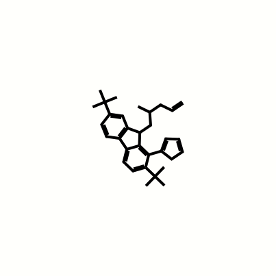 C=CCC(C)CC1c2cc(C(C)(C)C)ccc2-c2ccc(C(C)(C)C)c(C3=CC=CC3)c21